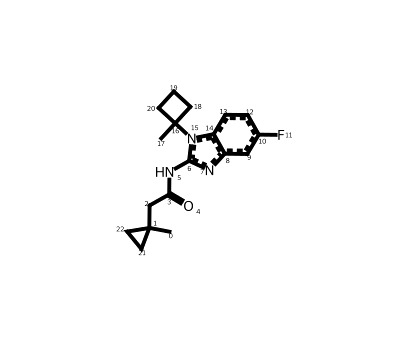 CC1(CC(=O)Nc2nc3cc(F)ccc3n2C2(C)CCC2)CC1